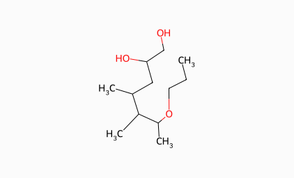 CCCOC(C)C(C)C(C)CC(O)CO